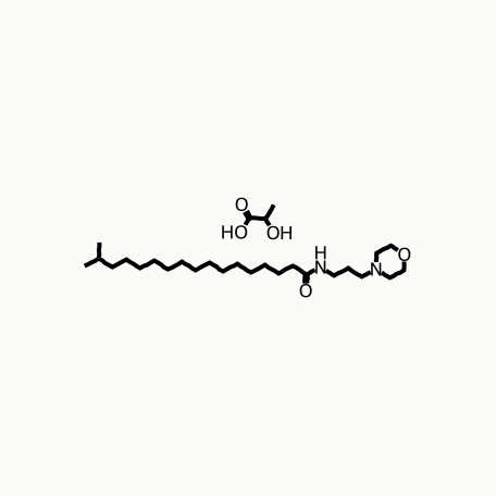 CC(C)CCCCCCCCCCCCCCC(=O)NCCCN1CCOCC1.CC(O)C(=O)O